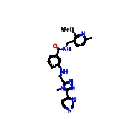 COc1nc(C)ccc1CNC(=O)c1cccc(NCc2nnc(-c3ccncn3)n2C)c1